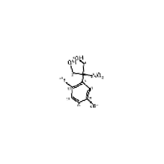 O=[N+]([O-])C(CO)(CO)c1cc(Br)ccc1F